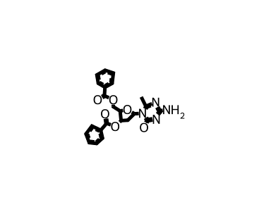 Cc1nc(N)nc(=O)n1C1CC(OC(=O)c2ccccc2)C(COC(=O)c2ccccc2)O1